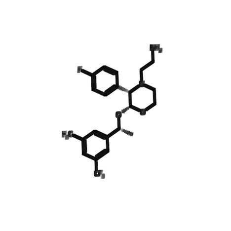 C[C@@H](O[C@H]1OCCN(CCN)[C@H]1c1ccc(F)cc1)c1cc(C(F)(F)F)cc(C(F)(F)F)c1